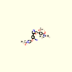 COc1cc(C(=O)N(C)C)ccc1-c1cc2nccc(-c3ccc(OC4CCN(C(C)=O)CC4)c(C#N)c3)c2o1